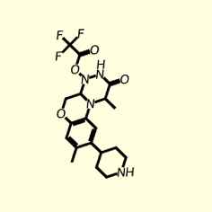 Cc1cc2c(cc1C1CCNCC1)N1C(C)C(=O)NN(OC(=O)C(F)(F)F)C1CO2